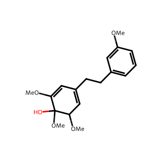 COC1=CC(CCc2cccc(OC)c2)=CC(OC)C1(O)OC